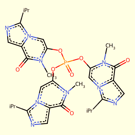 CC(C)c1ncc2c(=O)n(C)c(OP(=O)(Oc3cn4c(C(C)C)ncc4c(=O)n3C)Oc3cn4c(C(C)C)ncc4c(=O)n3C)cn12